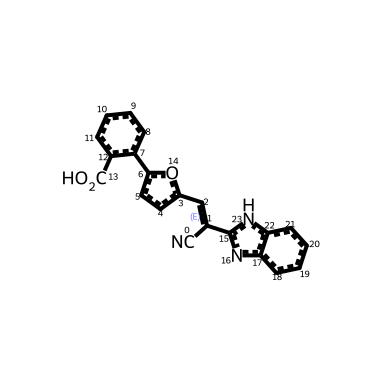 N#C/C(=C\c1ccc(-c2ccccc2C(=O)O)o1)c1nc2ccccc2[nH]1